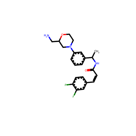 CC(NC(=O)/C=C\c1ccc(F)c(F)c1)c1cccc(N2CCOC(CN)C2)c1